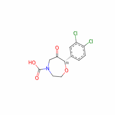 O=C1CN(C(=O)O)CCO[C@H]1c1ccc(Cl)c(Cl)c1